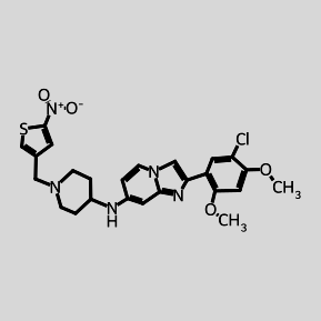 COc1cc(OC)c(-c2cn3ccc(NC4CCN(Cc5csc([N+](=O)[O-])c5)CC4)cc3n2)cc1Cl